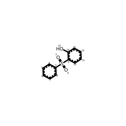 O=S(=O)(c1ccccc1)c1ccccc1O